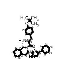 CC(C)(C)Oc1ccc(C[C@H](N)C(=O)N2Cc3ccccc3C[C@H]2c2nc(-c3ccccc3)c[nH]2)cc1